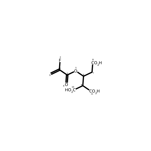 C=C(F)C(=O)OC(CC(=O)O)C(C(=O)O)C(=O)O